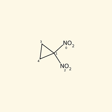 O=[N+]([O-])C1([N+](=O)[O-])CC1